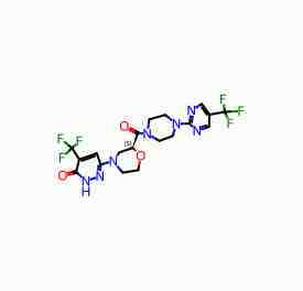 O=C([C@@H]1CN(c2cc(C(F)(F)F)c(=O)[nH]n2)CCO1)N1CCN(c2ncc(C(F)(F)F)cn2)CC1